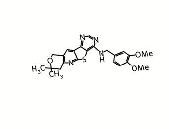 COc1ccc(CNc2ncnc3c2sc2nc4c(cc23)COC(C)(C)C4)cc1OC